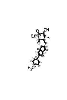 CCN1C(=O)C(C#N)=C(C)/C(=C/c2cc3sc(-c4ccc(C(F)(F)F)cc4)cc3s2)C1=O